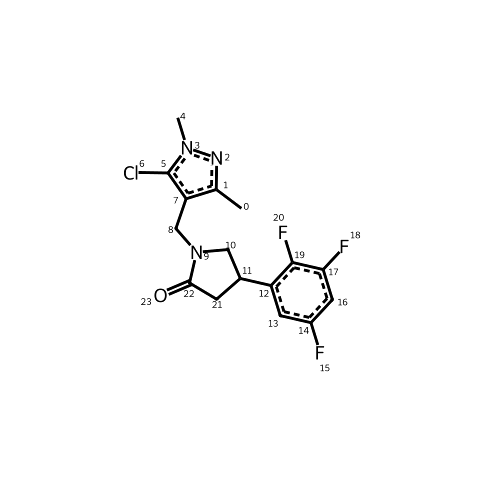 Cc1nn(C)c(Cl)c1CN1CC(c2cc(F)cc(F)c2F)CC1=O